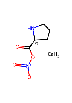 O=C(O[N+](=O)[O-])[C@@H]1CCCN1.[CaH2]